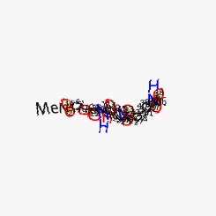 CNS(=O)(=O)c1cccc(OC[C@@H](O)CNC2COC3(CCN(S(=O)(=O)c4cccc(-c5ccc(NS(C)(=O)=O)cc5)c4)CC3)C2)c1